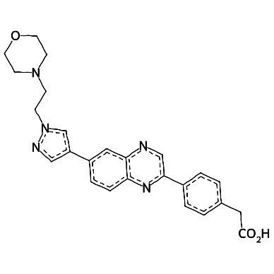 O=C(O)Cc1ccc(-c2cnc3cc(-c4cnn(CCN5CCOCC5)c4)ccc3n2)cc1